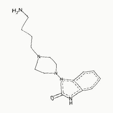 NCCCCN1CCN(n2c(=O)[nH]c3ccccc32)CC1